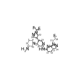 N[C@H]1CCCN(c2cc(Nc3ccc4cnn(CCF)c4n3)ncc2-c2cnn(C(F)F)c2)C1